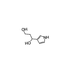 OCCC(O)c1cc[nH]c1